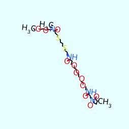 CCOCCOCCN(CC)C(=O)CCSCCCCSCCCNC(=O)CCOCCOCCOCCOCCNC(=O)CCN1C(=O)CC(C)C1=O